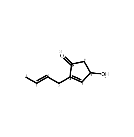 CC=CCC1=CC(O)CC1=O